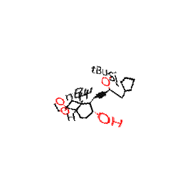 CCCCC1[C@@H]2[C@@H](C#C[C@H](CC3CCCC3)O[Si](C)(C)C(C)(C)C)[C@H](O)CC[C@@H]2C12OCCO2